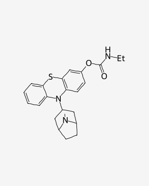 CCNC(=O)Oc1ccc2c(c1)Sc1ccccc1N2C1CC2CCC(C1)N2C